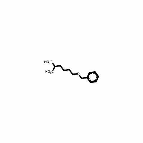 O=C(O)C(CCCCOCc1ccccc1)C(=O)O